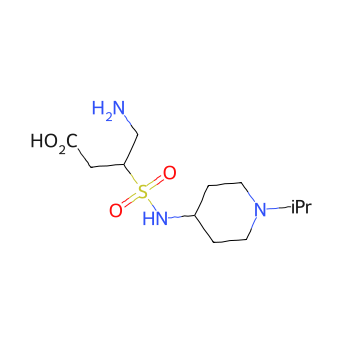 CC(C)N1CCC(NS(=O)(=O)C(CN)CC(=O)O)CC1